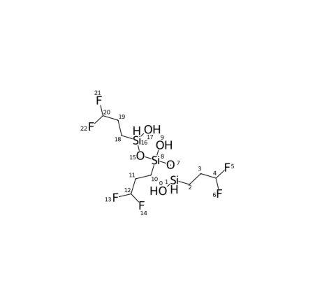 O[SiH](CCC(F)F)O[Si](O)(CCC(F)F)O[SiH](O)CCC(F)F